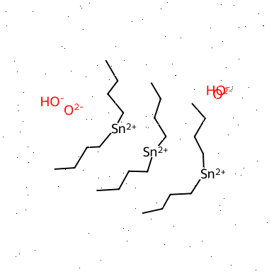 CCC[CH2][Sn+2][CH2]CCC.CCC[CH2][Sn+2][CH2]CCC.CCC[CH2][Sn+2][CH2]CCC.[O-2].[O-2].[OH-].[OH-]